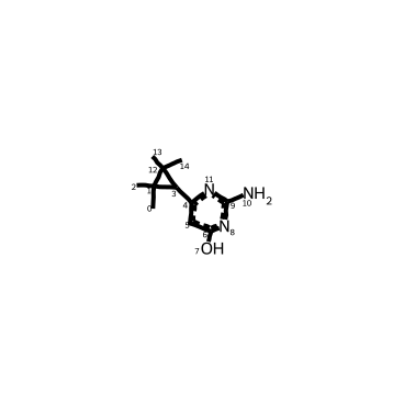 CC1(C)C(c2cc(O)nc(N)n2)C1(C)C